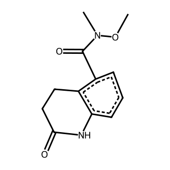 CON(C)C(=O)c1cccc2c1CCC(=O)N2